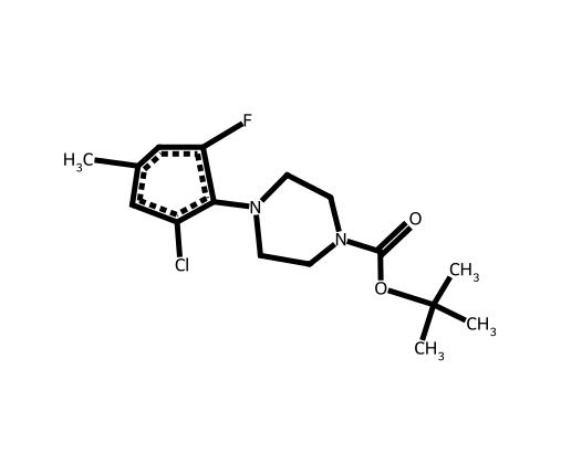 Cc1cc(F)c(N2CCN(C(=O)OC(C)(C)C)CC2)c(Cl)c1